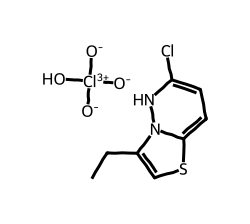 CCC1=CSC2=CC=C(Cl)NN12.[O-][Cl+3]([O-])([O-])O